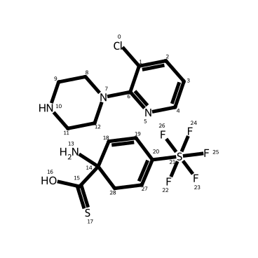 Clc1cccnc1N1CCNCC1.NC1(C(O)=S)C=CC(S(F)(F)(F)(F)F)=CC1